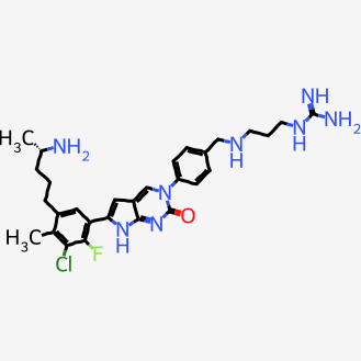 Cc1c(CCC[C@H](C)N)cc(-c2cc3cn(-c4ccc(CNCCCNC(=N)N)cc4)c(=O)nc3[nH]2)c(F)c1Cl